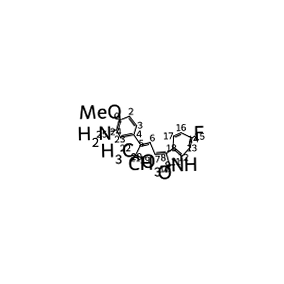 COc1ccc(C2=CC(=C3C(=O)Nc4cc(F)ccc43)OC2(C)C)cc1N